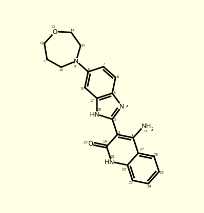 Nc1c(-c2nc3ccc(N4CCCOCC4)cc3[nH]2)c(=O)[nH]c2ccccc12